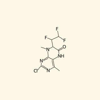 Cc1nc(Cl)nc2c1NC(=O)C(C(F)C(F)F)N2C